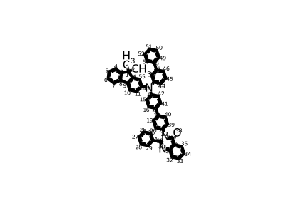 CC1(C)c2ccccc2-c2ccc(N(c3ccc(-c4ccc(-n5c(-c6ccccc6)nc6ccccc6c5=O)cc4)cc3)c3cccc(-c4ccccc4)c3)cc21